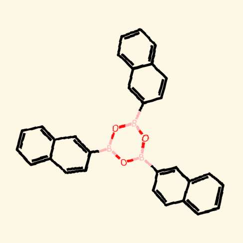 c1ccc2cc(B3OB(c4ccc5ccccc5c4)OB(c4ccc5ccccc5c4)O3)ccc2c1